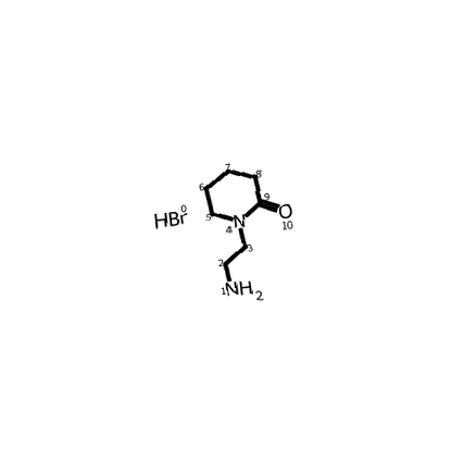 Br.NCCN1CCCCC1=O